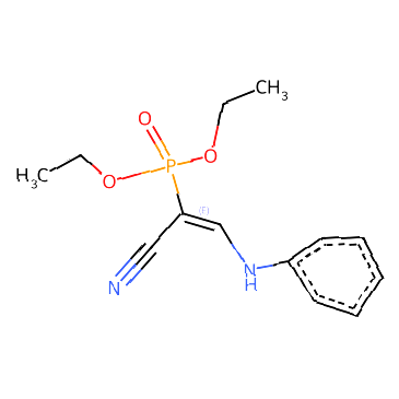 CCOP(=O)(OCC)/C(C#N)=C/Nc1ccccc1